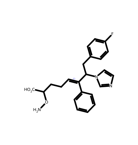 NOC(CC/C=C(\c1ccccc1)C(Cc1ccc(F)cc1)n1ccnc1)C(=O)O